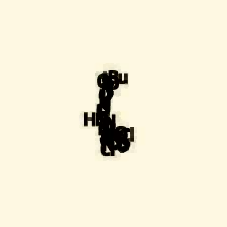 CC(C)(C)OC(=O)N1CCN(c2ccc(Nc3ncc4c(=O)n(-c5c(Cl)cccc5Cl)c5nccn5c4n3)cc2)CC1